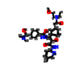 CCN(CCOC)C(=O)Cc1ccc2oc(C(=O)Nc3ccc(C)cn3)c(NC(=O)[C@H]3CC[C@H](C(=O)N(C)C)CC3)c2c1